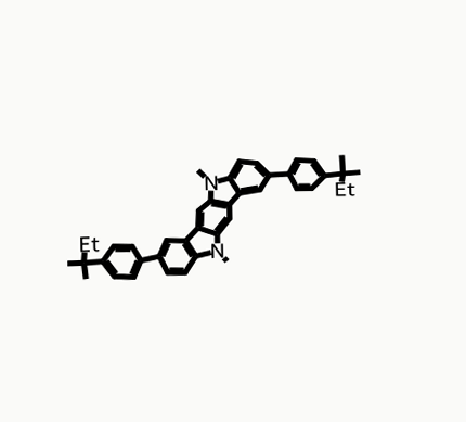 CCC(C)(C)c1ccc(-c2ccc3c(c2)c2cc4c(cc2n3C)c2cc(-c3ccc(C(C)(C)CC)cc3)ccc2n4C)cc1